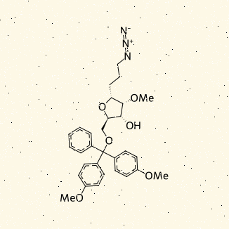 COc1ccc(C(OC[C@H]2O[C@H](CCCN=[N+]=[N-])[C@H](OC)[C@@H]2O)(c2ccccc2)c2ccc(OC)cc2)cc1